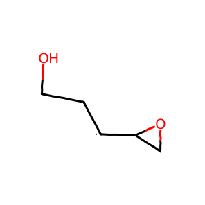 OCC[CH]C1CO1